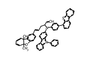 C=CC(C/C=C/c1ccc2c(c1)C1(C)C=CC=CC1(C)O2)N(c1ccc(-c2cccc3c2sc2ccccc23)cc1)c1ccc2c3ccccc3n(-c3ccccc3)c2c1